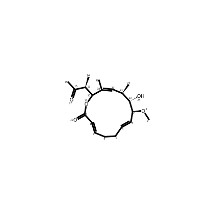 CO[C@H]1/C=C/CC/C=C/C(=O)OC([C@H](C)C(C)=O)/C(C)=C\[C@@H](C)[C@@H]1O